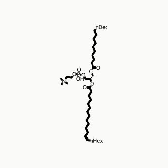 CCCCCC/C=C\CCCCCCCCCCCC(=O)O[C@H](COC(=O)CCCCCCCCCCCCCCCCCCC)COP(=O)(O)OCC[N+](C)(C)C